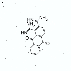 N=C(N)c1ccc2c(c1C(=N)N)C(=O)c1ccccc1C2=O